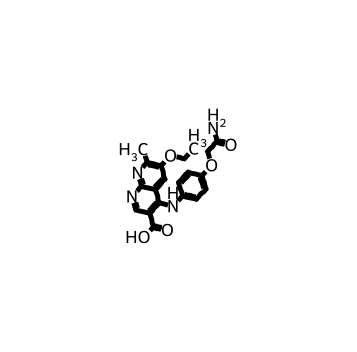 CCOc1cc2c(Nc3ccc(OCC(N)=O)cc3)c(C(=O)O)cnc2nc1C